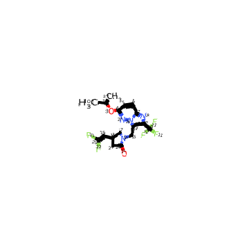 CC(C)Oc1ccc2nc(C(F)(F)F)c(CN3CC(C=C(F)F)CC3=O)n2n1